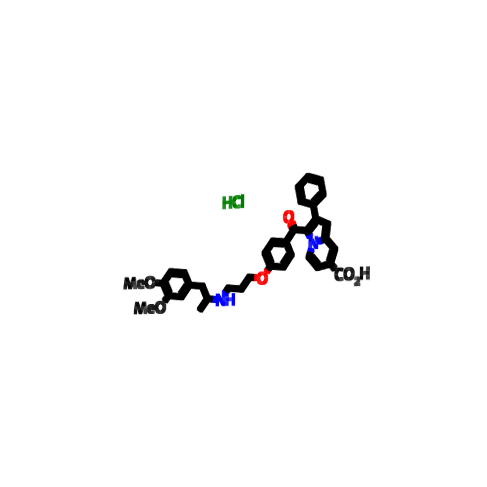 COc1ccc(CC(C)NCCCOc2ccc(C(=O)c3c(-c4ccccc4)cc4cc(C(=O)O)ccn34)cc2)cc1OC.Cl